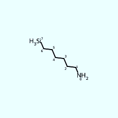 NCCCCCC[SiH3]